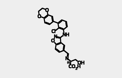 O=C(O)[C@H](CO)N=Cc1ccc2onc(Nc3cccc(-c4ccc5c(c4)OCCO5)c3Cl)c2c1